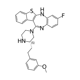 COc1cccc(CC[C@H]2CN(C3=Nc4ccc(F)cc4Nc4sc5ccccc5c43)CCN2)c1